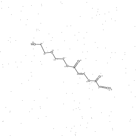 C=CC(=O)OC=CC(=O)OCCOCCO